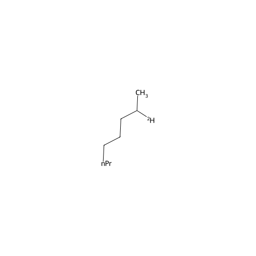 [2H]C(C)CCCCCC